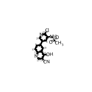 CS(=O)(=O)Nc1cc(-c2ccc3ncc(C#N)c(O)c3c2)cnc1Cl